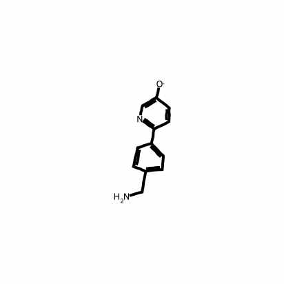 NCc1ccc(-c2ccc([O])cn2)cc1